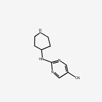 N#Cc1cnc(NC2CCNCC2)nc1